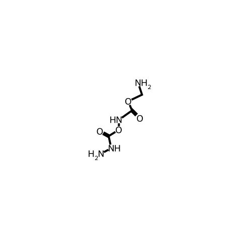 NCOC(=O)NOC(=O)NN